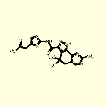 CC1(C)Cc2cnc(N)nc2-c2[nH]nc(C(=O)Nc3nc(CC(=O)O)cs3)c21